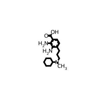 CN(CCCc1ccc(C(=O)O)c(N)c1N)C1CCCCC1